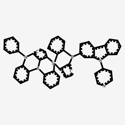 c1ccc(N2c3ccccc3B3c4ccccc4[Si]4(c5ccccc5B(c5ccc6c7ccccc7n(-c7ccncc7)c6c5)c5ccccc54)c4cccc2c43)cc1